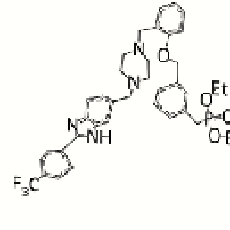 CCOP(=O)(Cc1cccc(COc2ccccc2CN2CCN(Cc3ccc4nc(-c5ccc(C(F)(F)F)cc5)[nH]c4c3)CC2)c1)OCC